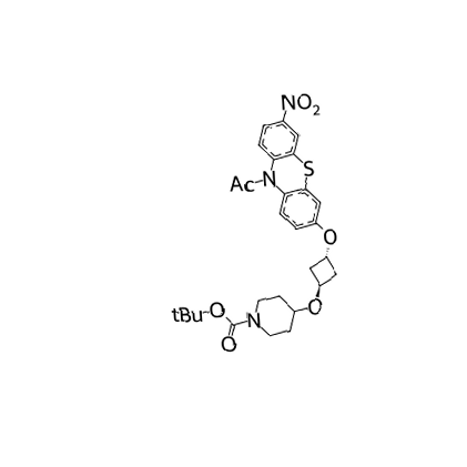 CC(=O)N1c2ccc(O[C@H]3C[C@H](OC4CCN(C(=O)OC(C)(C)C)CC4)C3)cc2Sc2cc([N+](=O)[O-])ccc21